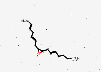 CCCCCCCCC/C=C/C/C=C/CC1OC1C/C=C/CCCC(=O)O